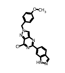 COc1ccc(Cn2cc3nc(-c4ccc5cn[nH]c5c4)nc(Cl)c3n2)cc1